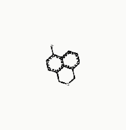 Brc1ccc2c3c(cccc13)COC2